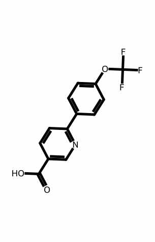 O=C(O)c1ccc(-c2ccc(OC(F)(F)F)cc2)nc1